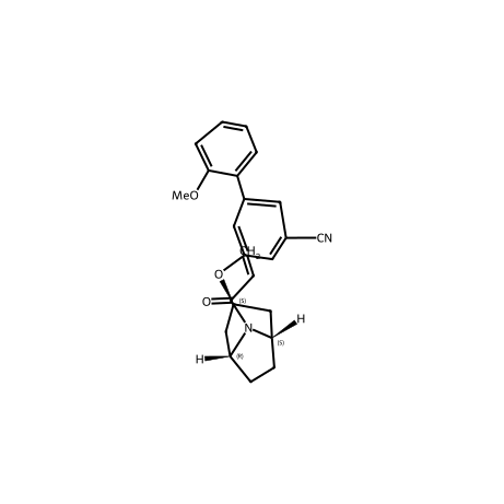 C=CC(=O)N1[C@@H]2CC[C@H]1C[C@H](Oc1cc(C#N)cc(-c3ccccc3OC)c1)C2